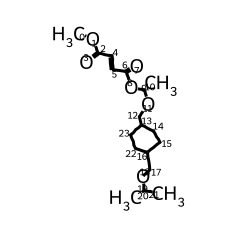 COC(=O)/C=C/C(=O)OC(C)OCC1CCC(COC(C)C)CC1